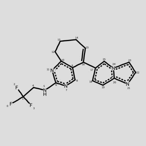 FC(F)(F)CNc1ncc2c(n1)CCCC=C2c1ccc2nccn2c1